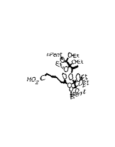 CCCCCOC(OCC)C(OCC)(OCC)C(C)OC(OCC)(OC(=O)CCCCC(=O)O)C(OCC)(OCC)OCCCCC